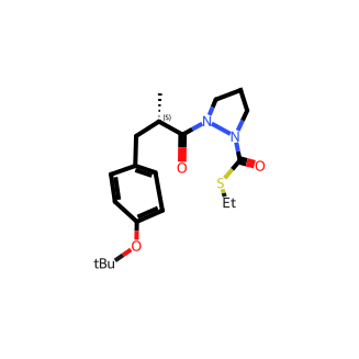 CCSC(=O)N1CCCN1C(=O)[C@@H](C)Cc1ccc(OC(C)(C)C)cc1